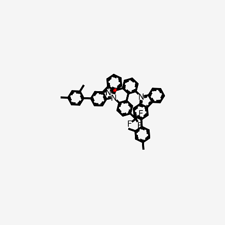 Cc1ccc(-c2ccc3c(c2)c2ccccc2n3-c2ccc(C(F)(F)F)cc2-c2c(C#N)cccc2-n2c3ccccc3c3cc(-c4ccc(C)cc4C)ccc32)c(C)c1